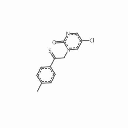 Cc1ccc(C(=S)Cn2cc(Cl)cnc2=O)cc1